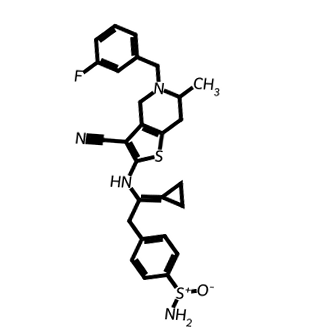 CC1Cc2sc(NC(Cc3ccc([S+](N)[O-])cc3)=C3CC3)c(C#N)c2CN1Cc1cccc(F)c1